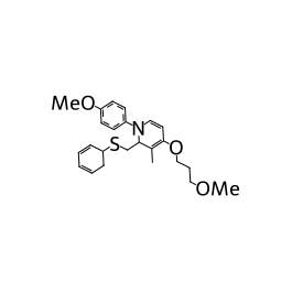 COCCCOC1=C(C)C(CSC2C=CC=CC2)N(c2ccc(OC)cc2)C=C1